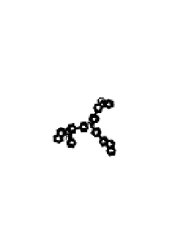 c1ccc(-n2c3cc(-c4ccc(N(c5ccc(-c6ccc7c(ccc8ccccc87)c6)cc5)c5ccc(-c6ccc7oc8ccccc8c7c6)cc5)cc4)ccc3c3ccc4ccccc4c32)cc1